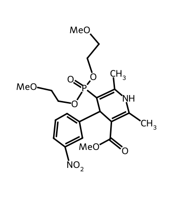 COCCOP(=O)(OCCOC)C1=C(C)NC(C)=C(C(=O)OC)C1c1cccc([N+](=O)[O-])c1